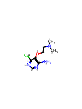 CN(C)CCOc1c(N)ncnc1Cl